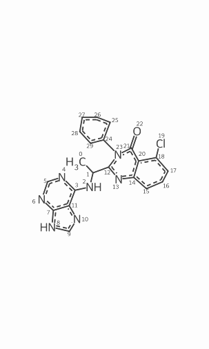 CC(Nc1ncnc2[nH]cnc12)c1nc2cccc(Cl)c2c(=O)n1-c1ccccc1